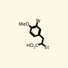 CCC(Cc1ccc(OC)c(Br)c1)C(=O)O